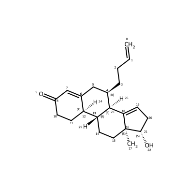 C=CCC[C@@H]1CC2=CC(=O)CC[C@@H]2[C@H]2CC[C@@]3(C)C(=CC[C@@H]3O)[C@H]12